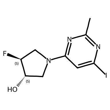 Cc1nc(I)cc(N2C[C@H](O)[C@@H](F)C2)n1